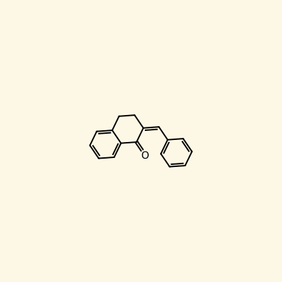 O=C1C(=Cc2ccccc2)CCc2ccccc21